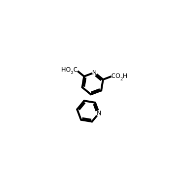 O=C(O)c1cccc(C(=O)O)n1.c1ccncc1